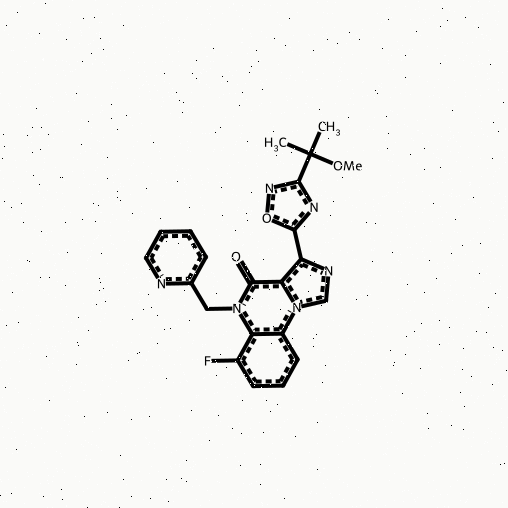 COC(C)(C)c1noc(-c2ncn3c2c(=O)n(Cc2ccccn2)c2c(F)cccc23)n1